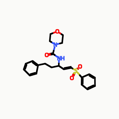 O=C(NC(C=CS(=O)(=O)c1ccccc1)CCc1ccccc1)N1CCOCC1